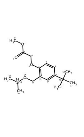 COC(=O)COc1ccc(C(C)(C)C)cc1CO[SiH](C)C